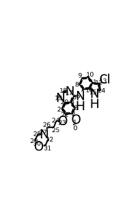 COc1cc2c(Nc3cccc4c(Cl)c[nH]c34)ncnc2cc1OCCCN1CCOCC1